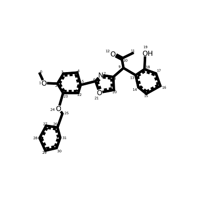 COc1ccc(-c2nc(C(C(C)=O)c3ccccc3O)co2)cc1OCc1ccccc1